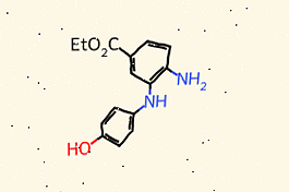 CCOC(=O)c1ccc(N)c(Nc2ccc(O)cc2)c1